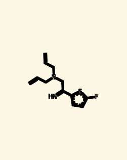 C=CCN(CC=C)CC(=N)c1ccc(F)s1